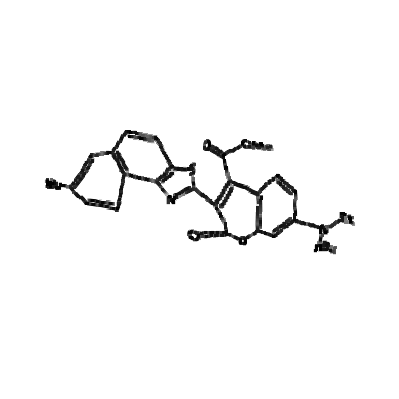 CCCCN(CC)c1ccc2c(C(=O)OC)c(-c3nc4c(ccc5cc(C(C)(C)C)ccc54)s3)c(=O)oc2c1